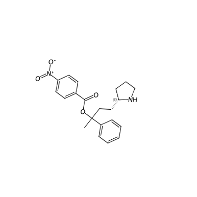 CC(CC[C@@H]1CCCN1)(OC(=O)c1ccc([N+](=O)[O-])cc1)c1ccccc1